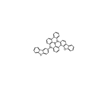 c1ccc2c(c1)-c1cccc3c1B1c4c(cccc4N3c3ccc4sc5ccccc5c4c3)-c3c(ccc4c3oc3ccccc34)N12